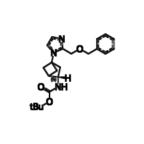 CC(C)(C)OC(=O)N[C@H]1CC2(n3ccnc3COCc3ccccc3)CC1C2